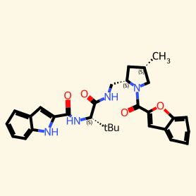 C[C@H]1C[C@@H](CNC(=O)[C@@H](NC(=O)c2cc3ccccc3[nH]2)C(C)(C)C)N(C(=O)c2cc3ccccc3o2)C1